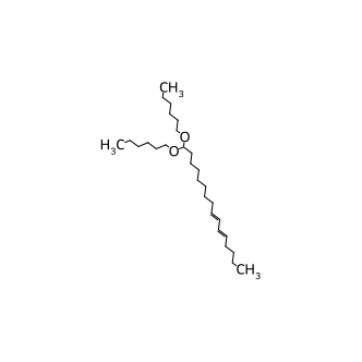 CCCCC=CC=CCCCCCCCC(OCCCCCC)OCCCCCC